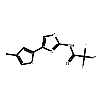 Cc1csc(-c2csc(NC(=O)C(F)(F)F)n2)c1